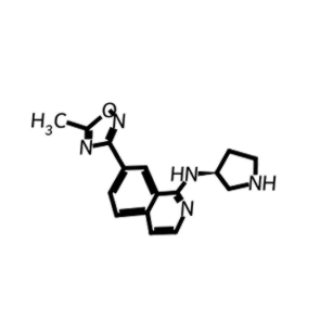 Cc1nc(-c2ccc3ccnc(N[C@H]4CCNC4)c3c2)no1